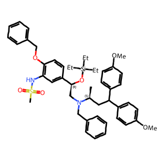 CC[Si](CC)(CC)O[C@@H](CN(Cc1ccccc1)[C@@H](C)CC(c1ccc(OC)cc1)c1ccc(OC)cc1)c1ccc(OCc2ccccc2)c(NS(C)(=O)=O)c1